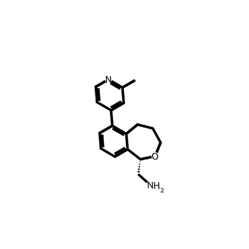 Cc1cc(-c2cccc3c2CCCO[C@@H]3CN)ccn1